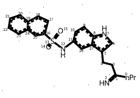 CCCC(=N)CCc1c[nH]c2ccc(NS(=O)(=O)c3ccc4ccccc4c3)cc12